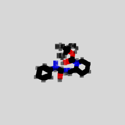 CC(C)(C)OC(=O)N1CCCCC1CNC(=O)Nc1ccccc1